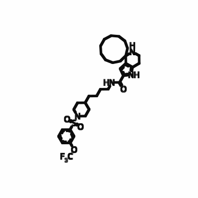 O=C(NCCCCC1CCN(S(=O)(=O)c2cccc(OC(F)(F)F)c2)CC1)c1cc2c([nH]1)CCNC21CCCCCCCCCC1